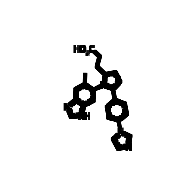 Cc1cc2nc[nH]c2cc1-n1c(CCC(=O)O)ccc1-c1ccc(-n2ccnc2)cc1